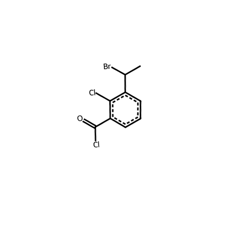 CC(Br)c1cccc(C(=O)Cl)c1Cl